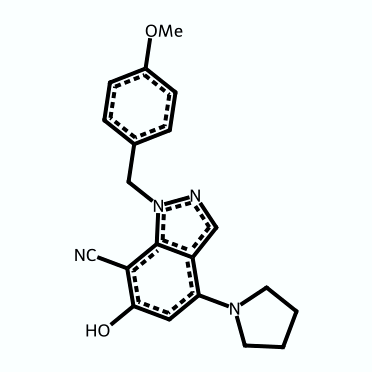 COc1ccc(Cn2ncc3c(N4CCCC4)cc(O)c(C#N)c32)cc1